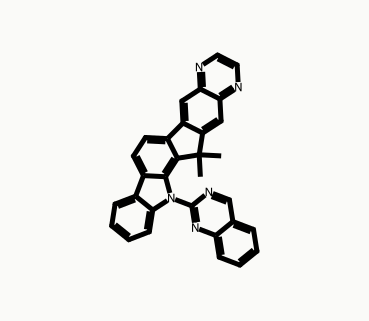 CC1(C)c2cc3nccnc3cc2-c2ccc3c4ccccc4n(-c4ncc5ccccc5n4)c3c21